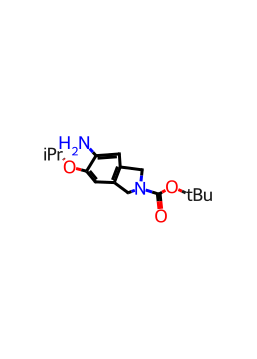 CC(C)Oc1cc2c(cc1N)CN(C(=O)OC(C)(C)C)C2